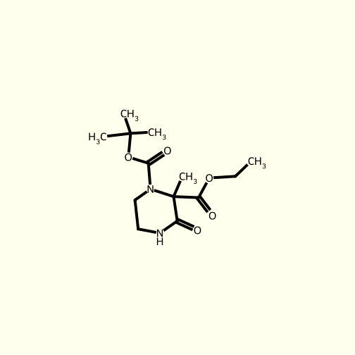 CCOC(=O)C1(C)C(=O)NCCN1C(=O)OC(C)(C)C